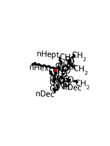 C=CCOC(=O)O[C@H]1[C@H](OCCCCCCCCCC)[C@@H](NC(=O)CC(=O)CCCCCCCCCCC)[C@@H](OP(=O)(OCC=C)OCC=C)O[C@@H]1CO[C@@H]1O[C@H](CC)[C@@H](OP(=O)(OCC=C)OCC=C)[C@H](OCC[C@H](C)CCCCCCC)[C@H]1NC(=O)CCCCCCCCC/C=C\CCCCCC